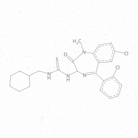 CN1C(=O)C(NC(=S)NCC2CCCCC2)N=C(c2ccccc2Cl)c2cc(Cl)ccc21